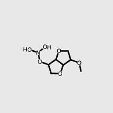 COC1COC2C(ON(O)O)COC12